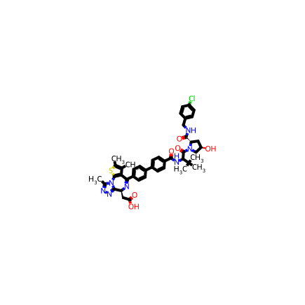 Cc1sc2c(c1C)C(c1ccc(-c3ccc(C(=O)NC(C(=O)N4C[C@H](O)C[C@H]4C(=O)NCc4ccc(Cl)cc4)C(C)(C)C)cc3)cc1)=N[C@@H](CC(=O)O)c1nnc(C)n1-2